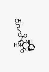 CCOCCOC(=O)c1c[nH]c(C(=O)O)c1Nc1ccccc1